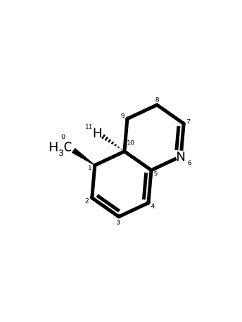 C[C@@H]1C=CC=C2N=CCC[C@@H]21